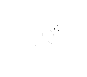 Cc1ccc(S(=O)(=O)C(N)[C@H]2CC[C@@H](F)[C@@H]2CCCCCC(=O)O)cc1